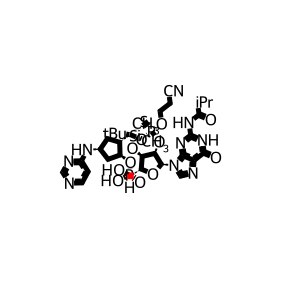 CC(C)C(=O)Nc1nc2c(ncn2[C@@H]2O[C@H](CO)[C@@H](O[Si](C)(C)C(C)(C)C)[C@@H]2OP(=S)(OCCC#N)OC[C@H]2C[C@@H](Nc3ccncn3)C[C@@H]2O[PH](=O)O)c(=O)[nH]1